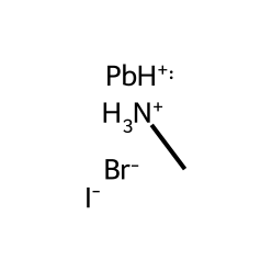 C[NH3+].[Br-].[I-].[PbH+]